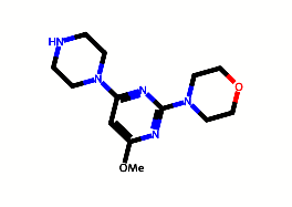 COc1cc(N2CCNCC2)nc(N2CCOCC2)n1